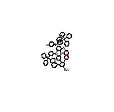 Cc1ccc(N(c2ccc(C)cc2)c2cc3c4c(c2)N(c2cccc([Si](c5ccccc5)(c5ccccc5)c5ccccc5)c2)c2ccc(-c5c(-c6ccccc6)cc(C(C)(C)C)cc5-c5ccccc5)cc2B4c2ccccc2N3c2cccc([Si](c3ccccc3)(c3ccccc3)c3ccccc3)c2)cc1